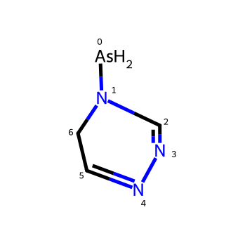 [AsH2]N1C=NN=CC1